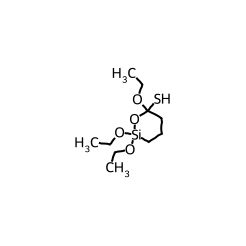 CCOC1(S)CCC[Si](OCC)(OCC)O1